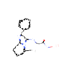 Cc1cccc2nc(-c3ccccc3)c(NCC(=O)NO)n12